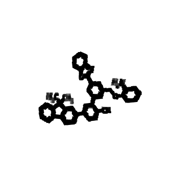 CC1(C)c2ccccc2-c2ccc(-c3ccc(C#N)c(-c4cc(COc5ccccc5N)cc(-c5nc6ccccc6o5)c4)c3)cc21